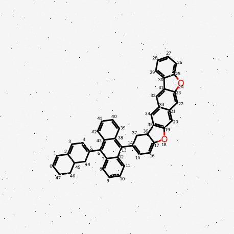 C1=CC2=CC=C(c3c4ccccc4c(C4=CC=C5Oc6cc7cc8oc9ccccc9c8cc7cc6C5C4)c4ccccc34)CC2CC1